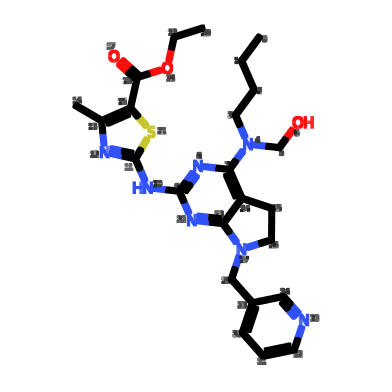 CCCCN(CO)c1nc(Nc2nc(C)c(C(=O)OCC)s2)nc2c1CCN2Cc1cccnc1